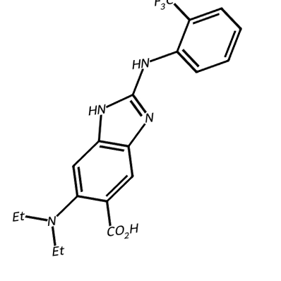 CCN(CC)c1cc2[nH]c(Nc3ccccc3C(F)(F)F)nc2cc1C(=O)O